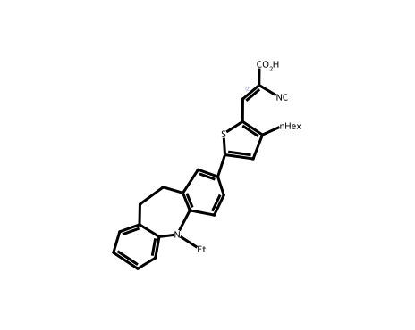 [C-]#[N+]/C(=C\c1sc(-c2ccc3c(c2)CCc2ccccc2N3CC)cc1CCCCCC)C(=O)O